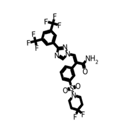 NC(=O)/C(=C/n1cnc(-c2cc(C(F)(F)F)cc(C(F)(F)F)c2)n1)c1cccc(S(=O)(=O)N2CCC(F)(F)CC2)c1